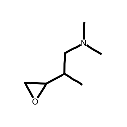 CC(CN(C)C)C1CO1